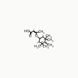 C/C(=C/C(=O)O)OC1CC(C)(C)N(C)C(C)(C)C1